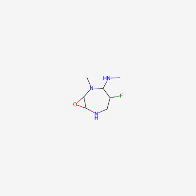 CNC1C(F)CNC2OC2N1C